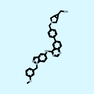 COc1cccc(Cn2ncc3cc(Nc4ncnc5ccc(-c6ccc(CN7CC8C(CO)C8C7)cc6)cc45)ccc32)c1